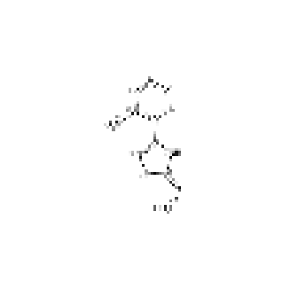 O=C(O)C=C1NC(c2ccccc2[N+](=O)[O-])=NS1